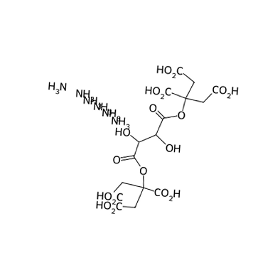 N.N.N.N.N.N.O=C(O)CC(CC(=O)O)(OC(=O)C(O)C(O)C(=O)OC(CC(=O)O)(CC(=O)O)C(=O)O)C(=O)O